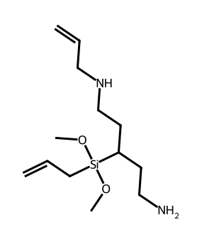 C=CCNCCC(CCN)[Si](CC=C)(OC)OC